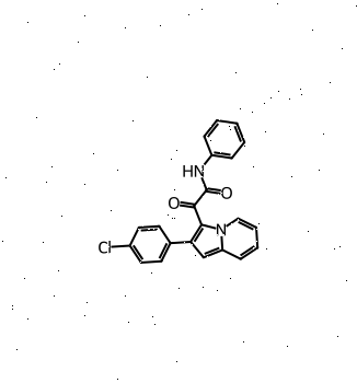 O=C(Nc1ccccc1)C(=O)c1c(-c2ccc(Cl)cc2)cc2ccccn12